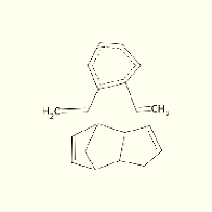 C1=CC2C3C=CC(C3)C2C1.C=Cc1ccccc1C=C